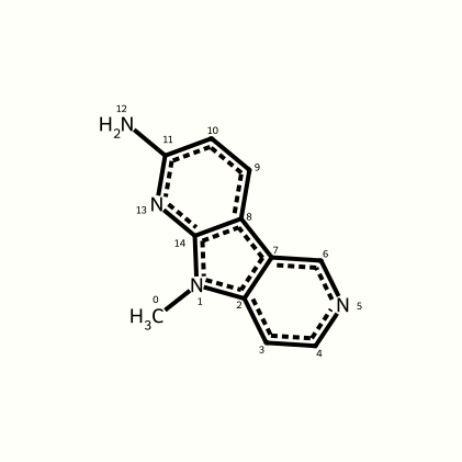 Cn1c2ccncc2c2ccc(N)nc21